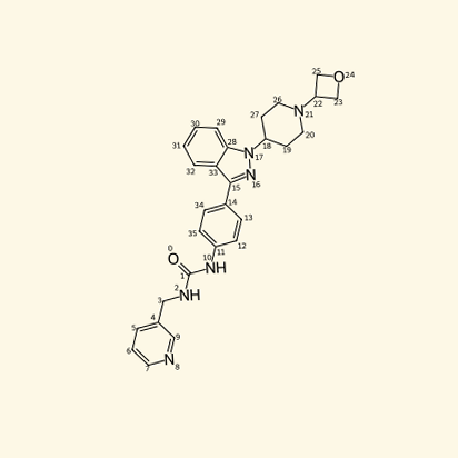 O=C(NCc1cccnc1)Nc1ccc(-c2nn(C3CCN(C4COC4)CC3)c3ccccc23)cc1